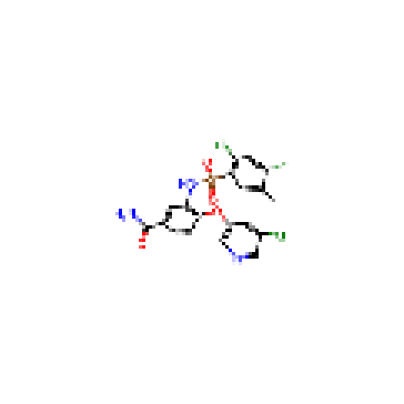 Cc1cc(S(=O)(=O)Nc2cc(C(N)=O)ccc2Oc2cncc(Cl)c2)c(Cl)cc1Cl